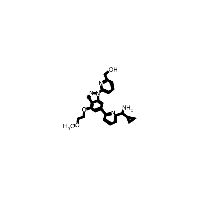 COCCOc1cc(-c2cccc(C(N)C3CC3)n2)cc2c1cnn2-c1cccc(CO)n1